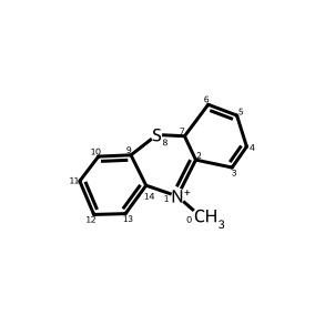 C[N+]1=C2C=CC=CC2Sc2ccccc21